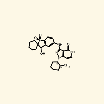 C[C@H]1CCCC[C@@H]1n1nc(Nc2ccc3c(c2)C(O)C2(CCCCC2)S3(=O)=O)c2c(=O)[nH]ccc21